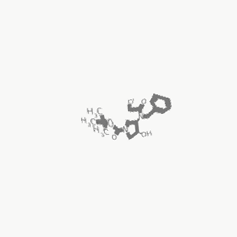 CC(C)(C)OC(=O)N1C[C@@H](O)[C@H](N(Cc2ccccc2)C(=O)CCl)C1